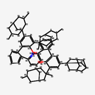 CC1CC2CC(C1)CC(C)(c1cc(C34CC(C)CC(CC(C)C3)C4)cc(-c3ccccc3-c3cccc(-c4ccccc4-c4cc(C56CC7CC(CC(C7)C5)C6)cc(C5(C)CC6CC(C)CC(C6)C5)c4O)n3)c1O)C2